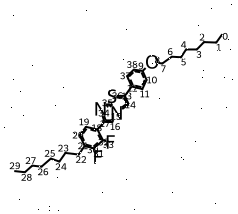 CCCCCCCCOc1ccc(-c2cn3cc(-c4ccc(CCCCCCCC)c(F)c4F)nc3s2)cc1